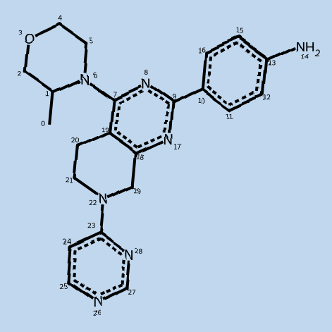 CC1COCCN1c1nc(-c2ccc(N)cc2)nc2c1CCN(c1ccncn1)C2